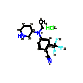 CCN(c1ccc(C#N)c(C(F)(F)F)c1)[C@@H]1CCCNC1.Cl